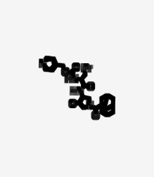 CC(C)C[C@H](NC(=O)OCc1ccncc1)C(=O)NC1CN(C(=O)C23CC4CC(CC(C4)C2)C3)CC1=O